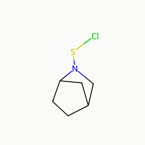 ClSN1CC2CCC1C2